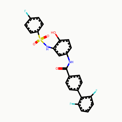 O=C(Nc1ccc(O)c(NS(=O)(=O)c2ccc(F)cc2)c1)c1ccc(-c2c(F)cccc2F)cc1